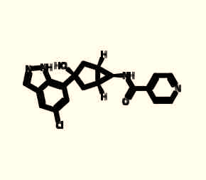 O=C(N[C@H]1[C@@H]2C[C@](O)(c3cc(Cl)cc4cn[nH]c34)C[C@@H]21)c1ccncc1